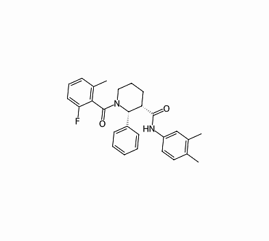 Cc1ccc(NC(=O)[C@H]2CCCN(C(=O)c3c(C)cccc3F)[C@H]2c2ccccc2)cc1C